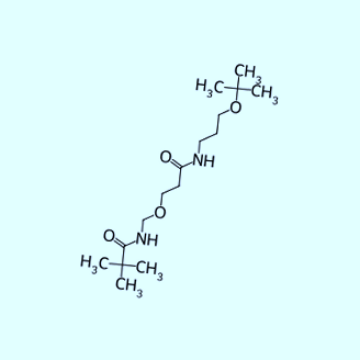 CC(C)(C)OCCCNC(=O)CCOCNC(=O)C(C)(C)C